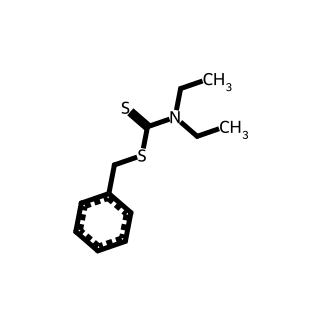 CCN(CC)C(=S)SCc1ccccc1